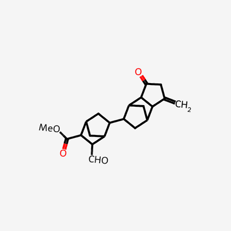 C=C1CC(=O)C2C3CC(CC3C3CC4CC3C(C=O)C4C(=O)OC)C12